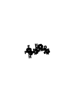 Cn1ncnc1C(=O)N[C@@H]1CCC[C@H](Nc2nc(-c3c[nH]c4c(F)cc(F)cc34)ncc2F)C1